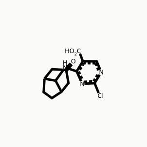 O=C1CC2CCC(C1)C2Nc1nc(Cl)ncc1C(=O)O